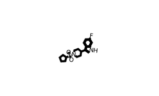 O=S(=O)(C1CCCC1)N1CCC(c2c[nH]c3cc(F)ccc23)CC1